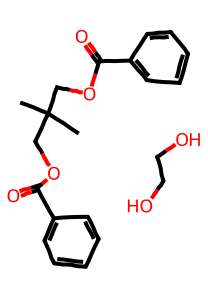 CC(C)(COC(=O)c1ccccc1)COC(=O)c1ccccc1.OCCO